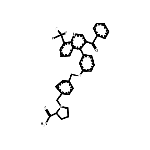 NC(=O)C1CCCN1Cc1ccc(COc2cccc(-c3c(C(=O)c4ccccc4)cnc4c(C(F)(F)F)cccc34)c2)cc1